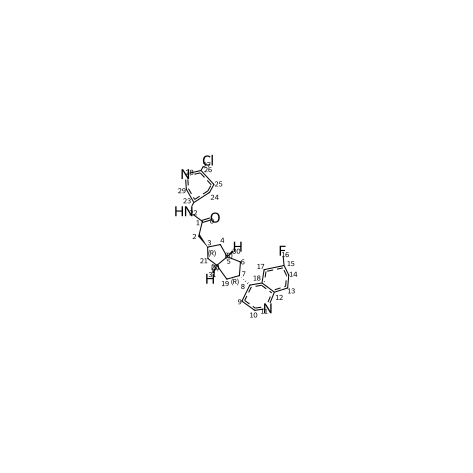 O=C(C[C@H]1C[C@@H]2C[C@H](c3ccnc4ccc(F)cc34)C[C@@H]2C1)Nc1ccc(Cl)nc1